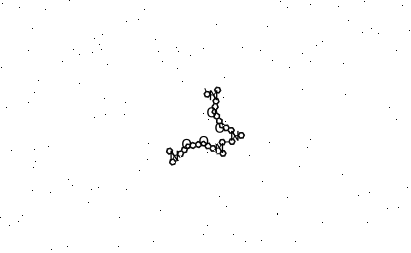 Cc1cccc(N(c2ccccc2)c2ccc3cc4c(cc3c2)oc2cc3cc5oc6cc7cc(N(c8ccccc8)c8cccc(-c9cccc(N(c%10ccc%11cc%12c(cc%11c%10)oc%10cc%11cc%13oc%14cc%15cc(N(c%16ccccc%16)c%16ccccc%16C)ccc%15cc%14c%13cc%11cc%10%12)c%10ccccc%10C)c9)c8)ccc7cc6c5cc3cc24)c1